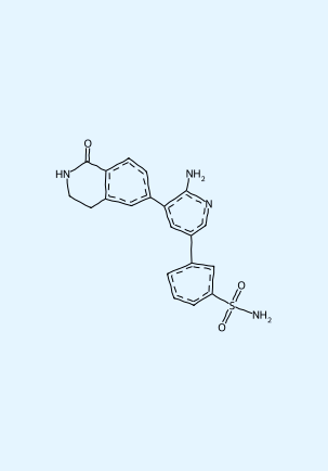 Nc1ncc(-c2cccc(S(N)(=O)=O)c2)cc1-c1ccc2c(c1)CCNC2=O